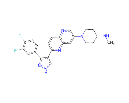 CNC1CCN(c2cnc3ccc(-c4c[nH]nc4-c4ccc(F)c(F)c4)nc3c2)CC1